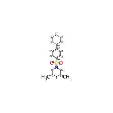 CC1CC(C)CN(S(=O)(=O)c2ccc(C3CCCCC3)cc2)C1